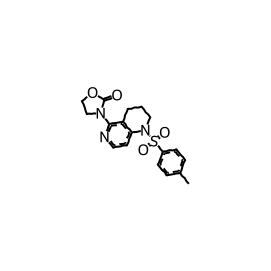 Cc1ccc(S(=O)(=O)N2CCCc3c2ccnc3N2CCOC2=O)cc1